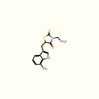 Cc1cccc2c(CC3SC(=S)N(CC(=O)O)C3=O)c[nH]c12